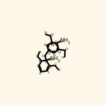 CCC1=CC=CC(CC)C1(N)Cc1cc(CC)c(N)c(CC)c1